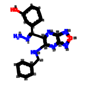 NN=C(c1cccc(O)c1)c1nc2nonc2nc1NCc1ccccc1